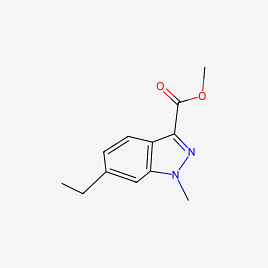 CCc1ccc2c(C(=O)OC)nn(C)c2c1